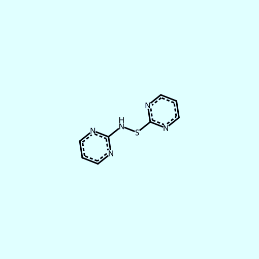 c1cnc(NSc2ncccn2)nc1